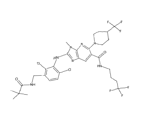 Cn1c(Nc2c(Cl)ccc(CNC(=O)C(C)(C)C)c2Cl)nc2cc(C(=O)NCCCC(F)(F)F)c(N3CCC(C(F)(F)F)CC3)nc21